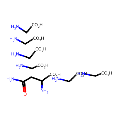 NC(=O)CC(N)C(=O)O.NCC(=O)O.NCC(=O)O.NCC(=O)O.NCC(=O)O.NCC(=O)O.NCC(=O)O